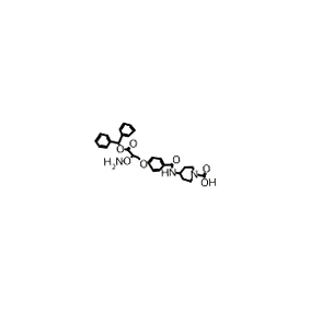 NOC(COc1ccc(C(=O)NC2CCN(C(=O)O)CC2)cc1)C(=O)OC(c1ccccc1)c1ccccc1